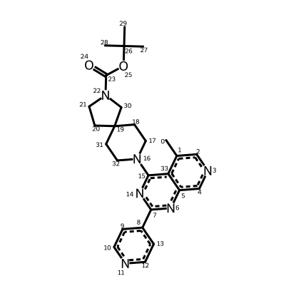 Cc1cncc2nc(-c3ccncc3)nc(N3CCC4(CCN(C(=O)OC(C)(C)C)C4)CC3)c12